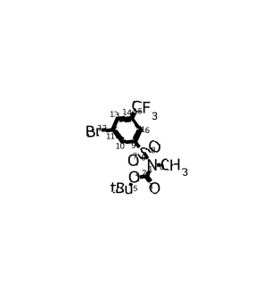 CN(C(=O)OC(C)(C)C)S(=O)(=O)c1cc(Br)cc(C(F)(F)F)c1